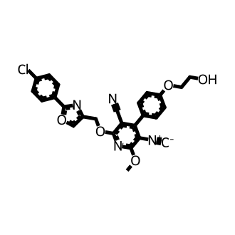 [C-]#[N+]c1c(OC)nc(OCc2coc(-c3ccc(Cl)cc3)n2)c(C#N)c1-c1ccc(OCCO)cc1